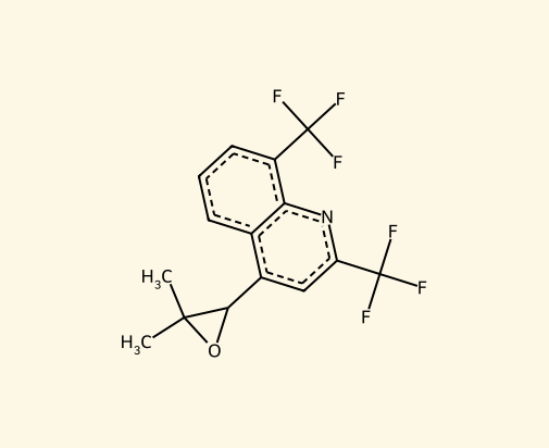 CC1(C)OC1c1cc(C(F)(F)F)nc2c(C(F)(F)F)cccc12